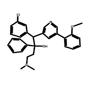 COc1ccccc1-c1cncc(C(c2cccc(Cl)c2)C(O)(CCN(C)C)c2ccccc2)c1